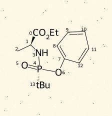 CCOC(=O)[C@H](C)N[P@](=O)(Oc1ccccc1)C(C)(C)C